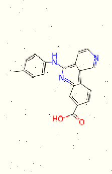 Cc1ccc(Nc2nc3cc(C(=O)O)ccc3c3cnccc23)cc1